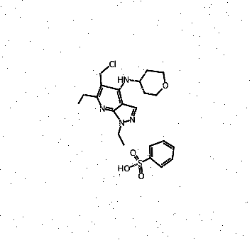 CCc1nc2c(cnn2CC)c(NC2CCOCC2)c1CCl.O=S(=O)(O)c1ccccc1